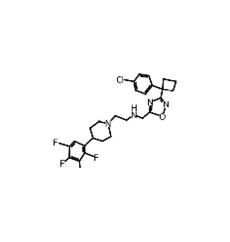 Cc1c(F)c(F)cc(C2CCN(CCNCc3nc(C4(c5ccc(Cl)cc5)CCC4)no3)CC2)c1F